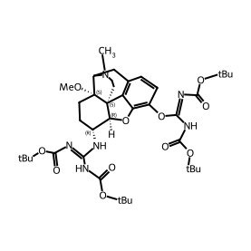 CO[C@@]12CC[C@@H](NC(=NC(=O)OC(C)(C)C)NC(=O)OC(C)(C)C)[C@@H]3Oc4c(OC(=NC(=O)OC(C)(C)C)NC(=O)OC(C)(C)C)ccc5c4[C@@]31CCN(C)C2C5